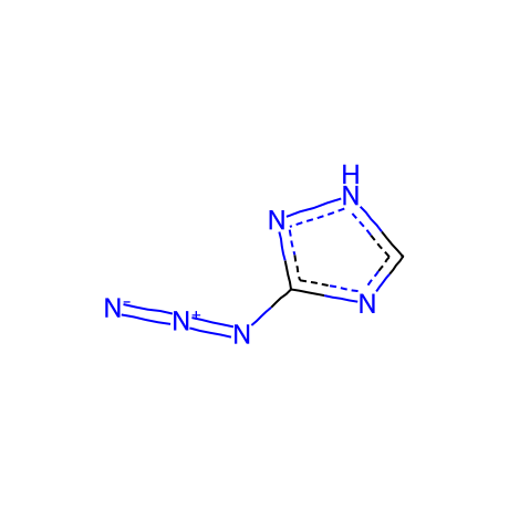 [N-]=[N+]=Nc1nc[nH]n1